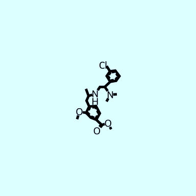 COC(=O)c1ccc(CC(C)NCC(c2cccc(Cl)c2)N(C)C)c(OC)c1